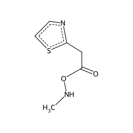 CNOC(=O)Cc1nccs1